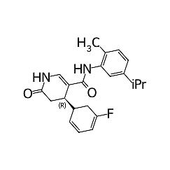 Cc1ccc(C(C)C)cc1NC(=O)C1=CNC(=O)C[C@@H]1C1C=CC=C(F)C1